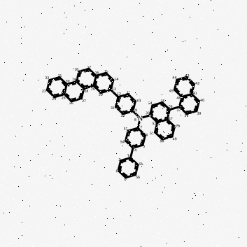 c1ccc(-c2ccc(N(c3ccc(-c4ccc5ccc6c7ccccc7ccc6c5c4)cc3)c3ccc(-c4cccc5ccccc45)c4ccccc34)cc2)cc1